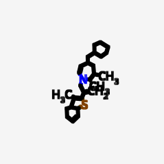 C=C(CN1C=CC(CC2CCCCC2)CC(C)[C@H]1C)C1=C(C)C2CCC=CC2S1